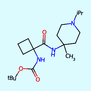 CC(C)N1CCC(C)(NC(=O)C2(NC(=O)OC(C)(C)C)CCC2)CC1